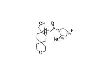 N#C[C@@H]1C[C@@H](F)CN1C(=O)CNC1(CO)CCC2(CCOCC2)CC1